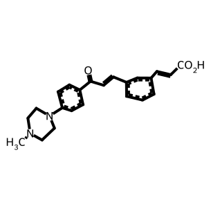 CN1CCN(c2ccc(C(=O)C=Cc3cccc(C=CC(=O)O)c3)cc2)CC1